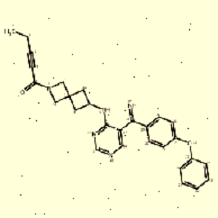 CCC#CC(=O)N1CC2(CC(Nc3ncncc3C(=N)c3ccc(Oc4ccccc4)cc3)C2)C1